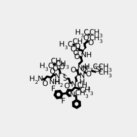 CC(C)(C)OC(=O)CC[C@@H](NC(=O)CCNC(=O)[C@H](CCN(C(=O)CSC[C@H](NC(=O)[C@@H](N)CC(N)=O)C(=O)OC(C)(C)C)[C@@H](c1cc(-c2cc(F)ccc2F)cn1Cc1ccccc1)C(C)(C)C)NC(=O)OCC[Si](C)(C)C)C(=O)OC(C)(C)C